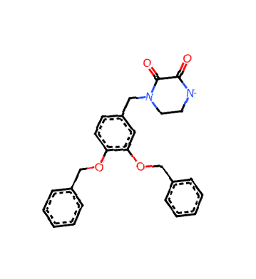 O=C1[N]CCN(Cc2ccc(OCc3ccccc3)c(OCc3ccccc3)c2)C1=O